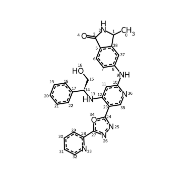 CC1NC(=O)c2ccc(Nc3cc(N[C@H](CO)c4ccccc4)c(-c4nnc(-c5ccccn5)o4)cn3)cc21